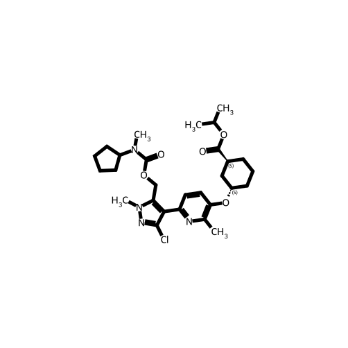 Cc1nc(-c2c(Cl)nn(C)c2COC(=O)N(C)C2CCCC2)ccc1O[C@H]1CCC[C@H](C(=O)OC(C)C)C1